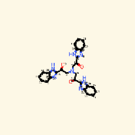 O=C(CN(CC(=O)c1nc2ccccc2[nH]1)CC(=O)c1nc2ccccc2[nH]1)c1nc2ccccc2[nH]1